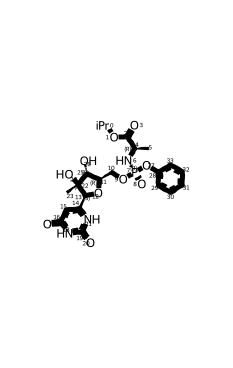 CC(C)OC(=O)[C@@H](C)N[P@@](=O)(OC[C@H]1O[C@@H](c2cc(=O)[nH]c(=O)[nH]2)[C@](C)(O)[C@@H]1O)Oc1ccccc1